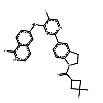 O=C(C1CC(F)(F)C1)N1CCc2cc(-c3ncc(F)c(Nc4ccc5c(=O)[nH]ccc5c4)n3)ccc21